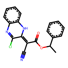 CC(OC(=O)C(C#N)=C1Nc2ccccc2N=C1Cl)c1ccccc1